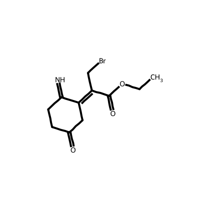 CCOC(=O)C(CBr)=C1CC(=O)CCC1=N